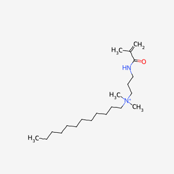 C=C(C)C(=O)NCCC[N+](C)(C)CCCCCCCCCCCC